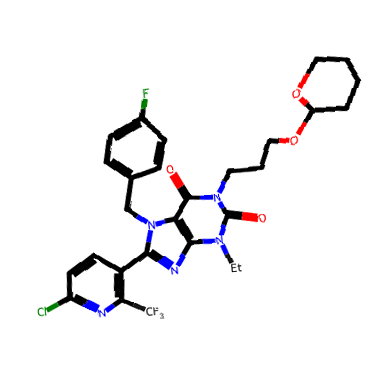 CCn1c(=O)n(CCCOC2CCCCO2)c(=O)c2c1nc(-c1ccc(Cl)nc1C(F)(F)F)n2Cc1ccc(F)cc1